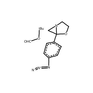 CC(C)(C)OC=O.[N-]=[N+]=Nc1ccc(C23CN2CCO3)cc1